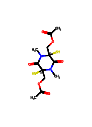 CC(=O)OC[C@]1(S)C(=O)N(C)[C@](S)(COC(C)=O)C(=O)N1C